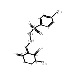 Cc1ccc(S(=O)(=O)NN/C=C2/C(=O)CCC(C)C2=O)cc1